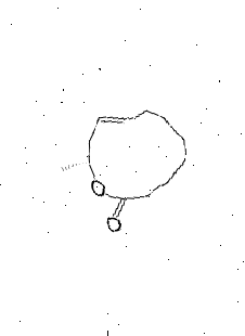 C[C@@H]1C/C=C/CCCCCCC(=O)O1